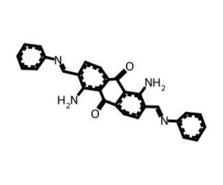 Nc1c(C=Nc2ccccc2)ccc2c1C(=O)c1ccc(C=Nc3ccccc3)c(N)c1C2=O